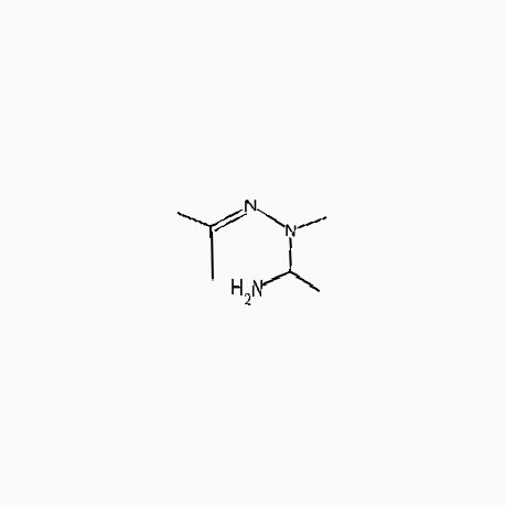 CC(C)=NN(C)C(C)N